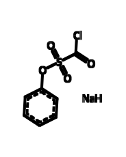 O=C(Cl)S(=O)(=O)Oc1ccccc1.[NaH]